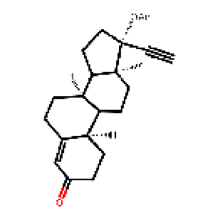 C#C[C@]1(OC(C)=O)CCC2[C@@H]3CCC4=CC(=O)CC[C@@H]4C3CC[C@@]21C